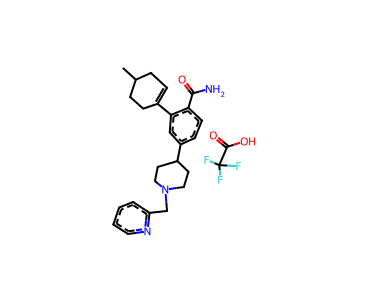 CC1CC=C(c2cc(C3CCN(Cc4ccccn4)CC3)ccc2C(N)=O)CC1.O=C(O)C(F)(F)F